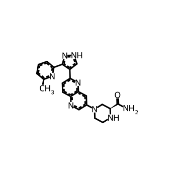 Cc1cccc(-c2n[nH]cc2-c2ccc3ncc(N4CCN[C@H](C(N)=O)C4)cc3n2)n1